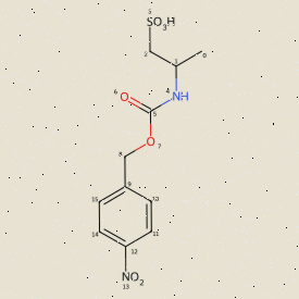 CC(CS(=O)(=O)O)NC(=O)OCc1ccc([N+](=O)[O-])cc1